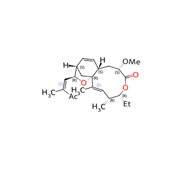 CC[C@H]1OC(=O)[C@@H](OC)C[C@H]2C=C[C@@H]3C[C@]2(O[C@H]3/C=C(/C)C(C)=O)/C(C)=C/[C@H]1C